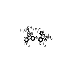 CN(C)C=NS(=O)(=O)c1cc(N)ccc1-c1cncc(C(F)(F)F)c1.Cn1nc(C(F)(F)F)cc1-c1ccc(N)cc1S(N)(=O)=O